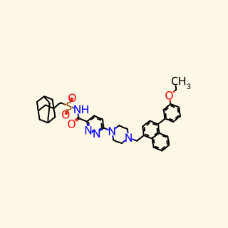 CCOc1cccc(-c2ccc(CN3CCN(c4ccc(C(=O)NS(=O)(=O)CC56CC7CC(CC(C7)C5)C6)nn4)CC3)c3ccccc23)c1